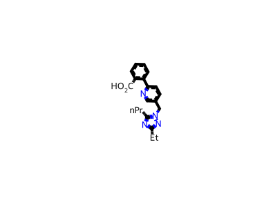 CCCc1nc(CC)nn1Cc1ccc(-c2ccccc2C(=O)O)nc1